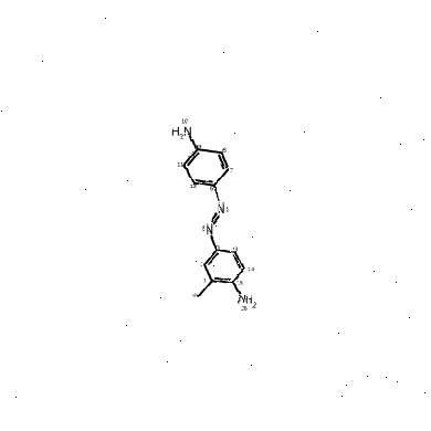 Cc1cc(/N=N/c2ccc(N)cc2)ccc1N